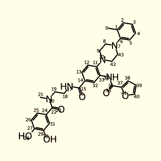 Cc1ccccc1N1CCN(c2ccc(C(=O)NCCN(C)C(=O)c3ccc(O)c(O)c3)cc2NC(=O)c2ccco2)CC1